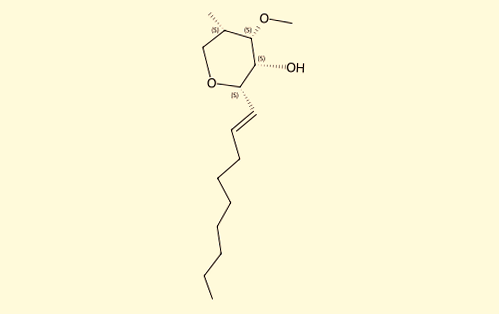 CCCCCCCC=C[C@@H]1OC[C@H](C)[C@H](OC)[C@@H]1O